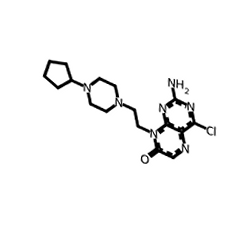 Nc1nc(Cl)c2ncc(=O)n(CCN3CCN(C4CCCC4)CC3)c2n1